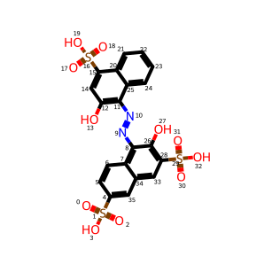 O=S(=O)(O)c1ccc2c(/N=N/c3c(O)cc(S(=O)(=O)O)c4ccccc34)c(O)c(S(=O)(=O)O)cc2c1